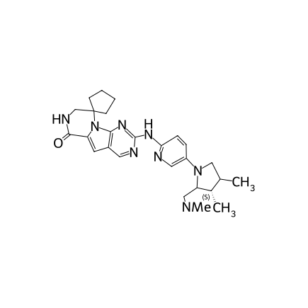 CNCC1[C@@H](C)C(C)CN1c1ccc(Nc2ncc3cc4n(c3n2)C2(CCCC2)CNC4=O)nc1